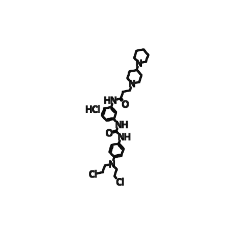 Cl.O=C(CCN1CCC(N2CCCCC2)CC1)Nc1cccc(NC(=O)Nc2ccc(N(CCCl)CCCl)cc2)c1